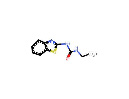 O=C(O)CNC(=O)Nc1nc2ccccc2s1